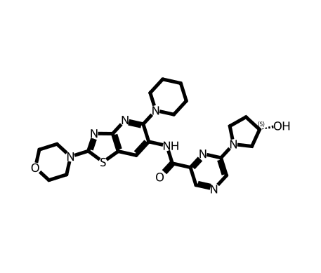 O=C(Nc1cc2sc(N3CCOCC3)nc2nc1N1CCCCC1)c1cncc(N2CC[C@H](O)C2)n1